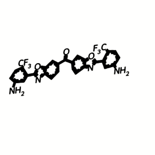 Nc1ccc(C(F)(F)F)c(-c2nc3ccc(C(=O)c4ccc5nc(-c6cc(N)ccc6C(F)(F)F)oc5c4)cc3o2)c1